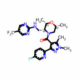 Cc1c(C(=O)N2C[C@@H](C)O[C@@H](C)[C@H]2CNc2ncc(C(F)(F)F)cn2)c(-c2ccc(F)cn2)nn1C